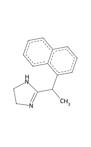 CC(C1=NCCN1)c1cccc2ccccc12